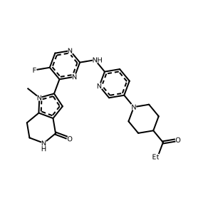 CCC(=O)C1CCN(c2ccc(Nc3ncc(F)c(-c4cc5c(n4C)CCNC5=O)n3)nc2)CC1